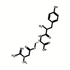 CN(CC(=O)OC[C@H](NC(=O)C(N)Cc1ccc(O)cc1)C(=O)O)C(=N)N